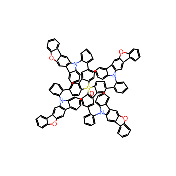 O=S12(c3ccc(-c4ccccc4-n4c5ccccc5c5cc6oc7ccccc7c6cc54)cc3-c3cc(-c4ccccc4-n4c5ccccc5c5cc6oc7ccccc7c6cc54)ccc31)c1ccc(-c3ccccc3-n3c4ccccc4c4cc5oc6ccccc6c5cc43)cc1-c1cc(-c3ccccc3-n3c4ccccc4c4cc5oc6ccccc6c5cc43)ccc12